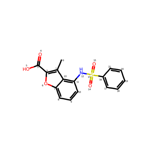 Cc1c(C(=O)O)oc2cccc(NS(=O)(=O)c3ccccc3)c12